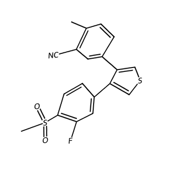 Cc1ccc(-c2cscc2-c2ccc(S(C)(=O)=O)c(F)c2)cc1C#N